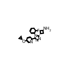 N[C@H]1C[C@H](c2nnc(-c3ccc(OC4CC4)cn3)n2C2=CC=CCC2F)C1